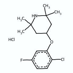 CC1(C)CC(Oc2cc(F)ccc2Cl)CC(C)(C)N1.Cl